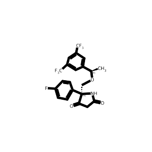 C[C@@H](OC[C@]1(c2ccc(F)cc2)NC(=O)CC1=O)c1cc(C(F)(F)F)cc(C(F)(F)F)c1